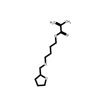 C=C(C)C(=O)OCCCCOCC1CCCO1